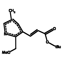 COCc1ncc(C)cc1C=CC(=O)OC(C)(C)C